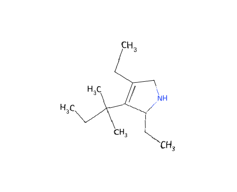 CCC1=C(C(C)(C)CC)C(CC)NC1